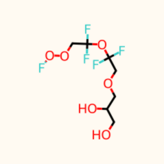 OCC(O)COCC(F)(F)OC(F)(F)COOF